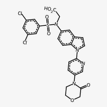 O=C(O)CN(c1ccc2c(ccn2-c2ccc(N3CCOCC3=O)cn2)c1)S(=O)(=O)c1cc(Cl)cc(Cl)c1